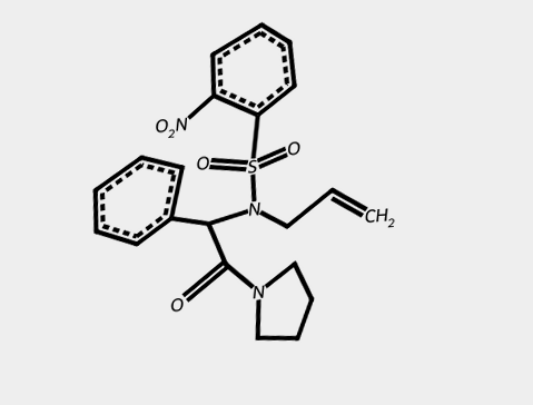 C=CCN(C(C(=O)N1CCCC1)c1ccccc1)S(=O)(=O)c1ccccc1[N+](=O)[O-]